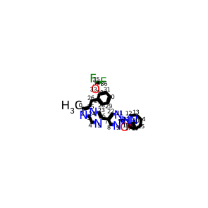 Cc1nc2cnc(-c3cnc(N4CC5CCC(C4)C(=O)N5)nc3)cn2c1Cc1ccccc1OC(F)F